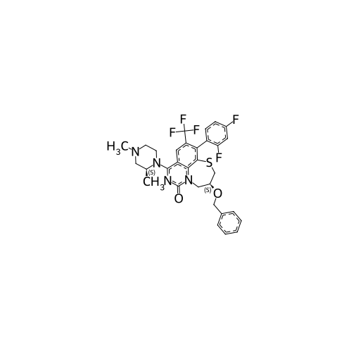 C[C@H]1CN(C)CCN1c1nc(=O)n2c3c(c(-c4ccc(F)cc4F)c(C(F)(F)F)cc13)SC[C@@H](OCc1ccccc1)C2